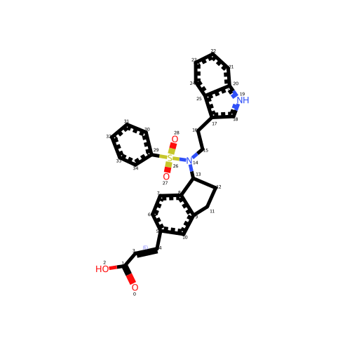 O=C(O)/C=C/c1ccc2c(c1)CCC2N(CCc1c[nH]c2ccccc12)S(=O)(=O)c1ccccc1